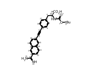 CC(C)(C)OC(=O)N[C@@H](Cc1ccc(C#Cc2ccc3cc(C(=N)N)ccc3c2)cc1)C(=O)O